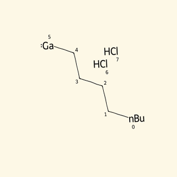 CCCCCCC[CH2][Ga].Cl.Cl